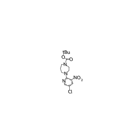 CC(C)(C)OC(=O)N1CCCN(c2ncc(Cl)cc2[N+](=O)[O-])CC1